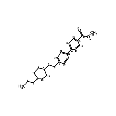 CCCC1CCC(CCc2ccc(-c3ccc(C(=O)OC)cc3)cc2)CC1